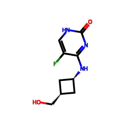 O=c1nc(N[C@H]2C[C@@H](CO)C2)c(F)c[nH]1